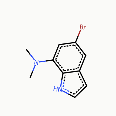 CN(C)c1cc(Br)cc2cc[nH]c12